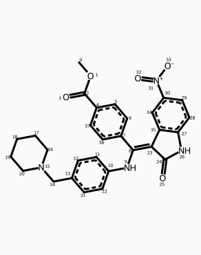 COC(=O)c1ccc(/C(Nc2ccc(CN3CCCCC3)cc2)=C2/C(=O)Nc3ccc([N+](=O)[O-])cc32)cc1